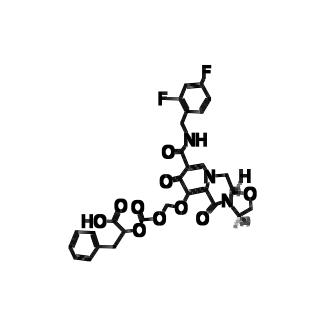 C[C@H]1CO[C@@H]2Cn3cc(C(=O)NCc4ccc(F)cc4F)c(=O)c(OCOC(=O)OC(Cc4ccccc4)C(=O)O)c3C(=O)N12